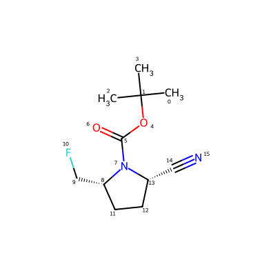 CC(C)(C)OC(=O)N1[C@@H](CF)CC[C@H]1C#N